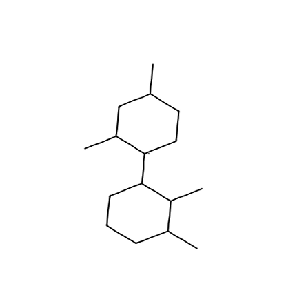 CC1CC[C](C2CCCC(C)C2C)C(C)C1